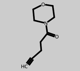 C#CCCC(=O)N1CCOCC1